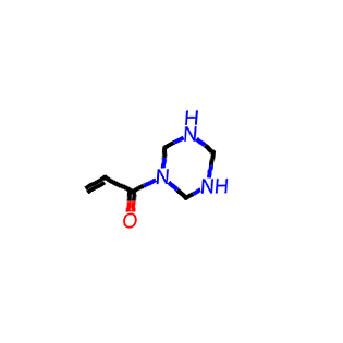 C=CC(=O)N1CNCNC1